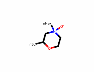 CCCCCC[N+]1([O-])CCOC(CCCC)C1